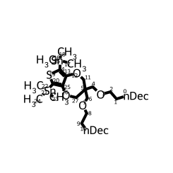 CCCCCCCCCCCCOCC1(COCCCCCCCCCCCC)COc2[c]([Sn]([CH3])([CH3])[CH3])s[c]([Sn]([CH3])([CH3])[CH3])c2OC1